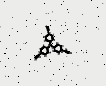 C#Cc1ccc(N(c2ccc(C#C)cc2)c2ccc(C#C)cc2)cc1